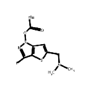 CN(C)Cc1cc2c(s1)c(I)nn2OC(=O)C(C)(C)C